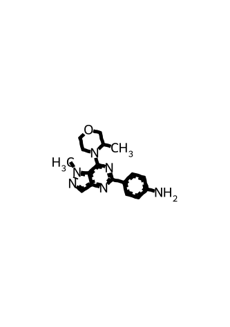 CC1COCCN1c1nc(-c2ccc(N)cc2)nc2cnn(C)c12